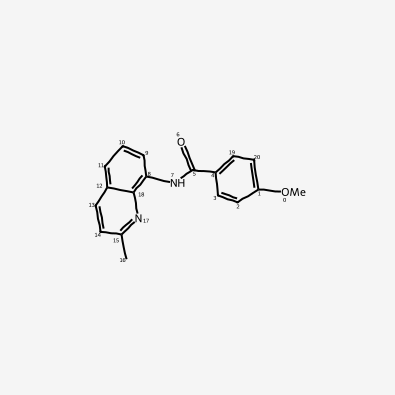 COc1ccc(C(=O)Nc2cccc3ccc(C)nc23)cc1